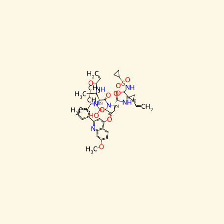 C=CCN(C(=O)O)[C@H](C(=O)N1C[C@H](Oc2cc(-c3ccccc3)nc3cc(OC)ccc23)C[C@H]1C(=O)N[C@]1(C(=O)NS(=O)(=O)C2CC2)C[C@H]1C=C)C(NC(=O)C=C)C(C)(C)C